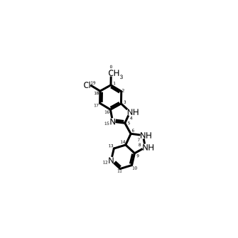 Cc1cc2[nH]c(C3NNC4=CC=NCC43)nc2cc1Cl